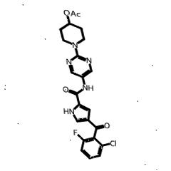 CC(=O)OC1CCN(c2ncc(NC(=O)c3cc(C(=O)c4c(F)cccc4Cl)c[nH]3)cn2)CC1